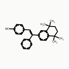 CC1(C)CCC(C)(C)c2cc(C(=Cc3ccc(C#N)cc3)c3ccccc3)ccc21